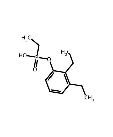 CCc1cccc(OP(=O)(O)CC)c1CC